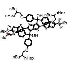 CCCCCCC(CCCC)COc1ccc(C(O)(c2ccc(OCC(CCCC)CCCCCC)cc2)c2c(-c3cc4sc([Si](C(C)C)(C(C)C)C(C)C)cc4s3)sc3c(C(O)(c4ccc(OCC(CCCC)CCCCCC)cc4)c4ccc(OCC(CCCC)CCCCCC)cc4)c(-c4cc5sc([Si](C(C)C)(C(C)C)C(C)C)cc5s4)sc23)cc1